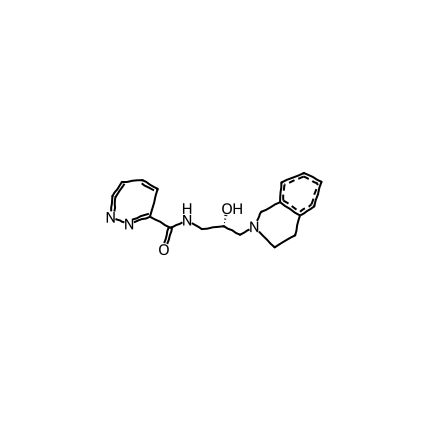 O=C(NC[C@H](O)CN1CCc2ccccc2C1)C1=NN=C=CC=C1